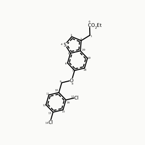 CCOC(=O)Cc1csc2cc(OCc3ccc(Cl)cc3Cl)ccc12